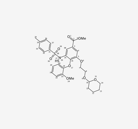 COC(=O)c1cc(OCCOC2CCCCO2)c(Oc2ccccc2OC)c(N(S)S(=O)(=O)c2ccc(C)cc2)c1